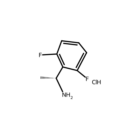 C[C@@H](N)c1c(F)cccc1F.Cl